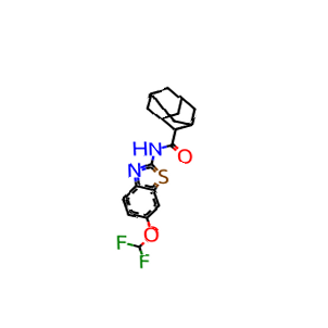 O=C(Nc1nc2ccc(OC(F)F)cc2s1)C1C2CC3CC(C2)CC1C3